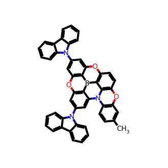 Cc1ccc2c(c1)Oc1ccc3c4c1N2c1cc(-n2c5ccccc5c5ccccc52)cc2c1B4c1c(cc(-n4c5ccccc5c5ccccc54)cc1O3)O2